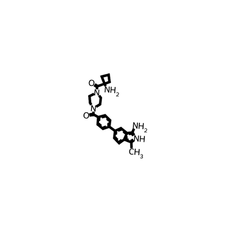 Cc1[nH]c(N)c2cc(-c3ccc(C(=O)N4CCN(C(=O)C5(N)CCC5)CC4)cc3)ccc12